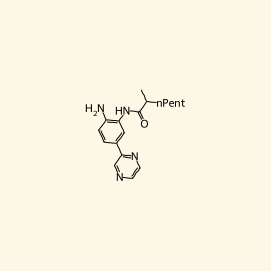 CCCCCC(C)C(=O)Nc1cc(-c2cnccn2)ccc1N